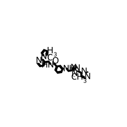 Cc1cccn1-c1ncccc1CNC(=O)c1cccc(NCc2nnc(-c3ccncn3)n2C)c1